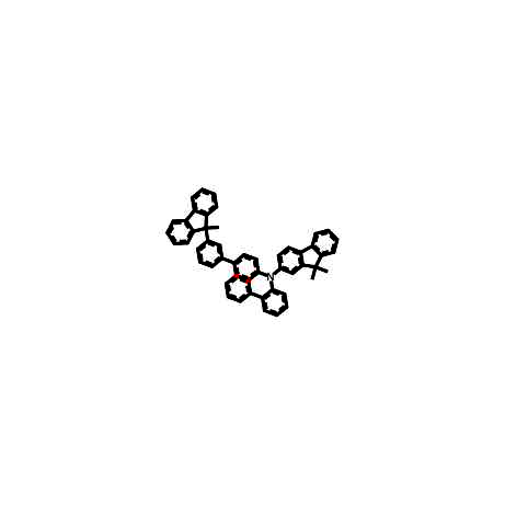 CC1(C)c2ccccc2-c2ccc(N(c3ccc(-c4cccc(C5(C)c6ccccc6-c6ccccc65)c4)cc3)c3ccccc3-c3ccccc3)cc21